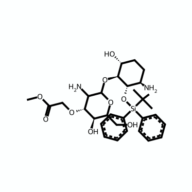 COC(=O)CO[C@@H]1C(N)C(O[C@@H]2[C@@H](O[Si](c3ccccc3)(c3ccccc3)C(C)(C)C)[C@H](N)CC[C@H]2O)OC(CO)[C@H]1O